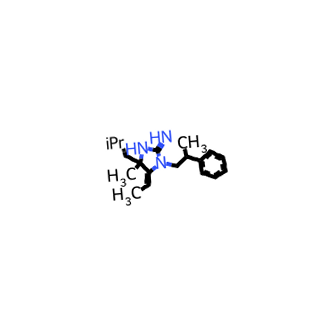 CC=C1N(CC(C)c2ccccc2)C(=N)NC1(C)CC(C)C